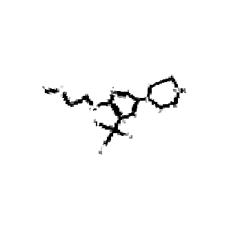 COCCOc1ncc(N2CCNCC2)cc1C(F)(F)F